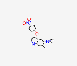 [C-]#[N+]c1cc2c(Oc3ccc([N+](=O)[O-])cc3)ccnc2cc1C